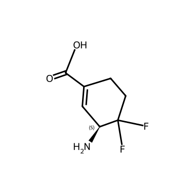 N[C@H]1C=C(C(=O)O)CCC1(F)F